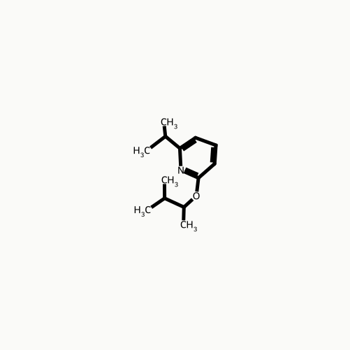 CC(C)c1cccc(OC(C)C(C)C)n1